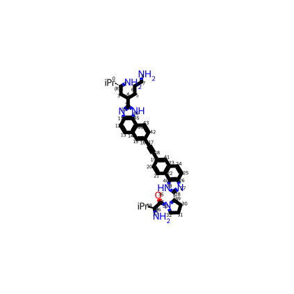 CC(C)[C@H](N)CC(CCCN)c1nc2ccc3cc(C#Cc4ccc5c(ccc6nc([C@@H]7CCCN7C(=O)[C@@H](N)C(C)C)[nH]c65)c4)ccc3c2[nH]1